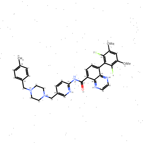 COc1cc(OC)c(F)c(-c2ccc(C(=O)Nc3ccc(CN4CCN(Cc5ccc(C)cc5)CC4)cn3)c3nccnc23)c1F